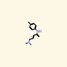 C=C(/C=C/CN(C)C)Nc1ccc(C)cc1